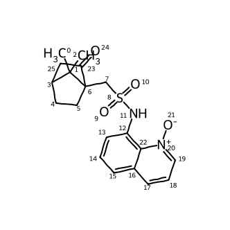 CC1(C)C2CCC1(CS(=O)(=O)Nc1cccc3ccc[n+]([O-])c13)C(=O)C2